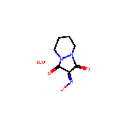 O.O=C1C(=NO)C(=O)N2CCCCN12